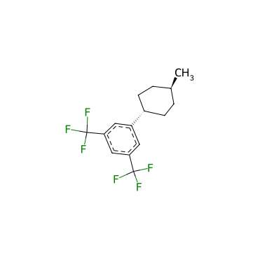 C[C@H]1CC[C@H](c2cc(C(F)(F)F)cc(C(F)(F)F)c2)CC1